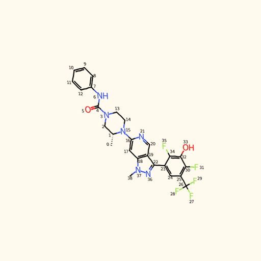 C[C@@H]1CN(C(=O)Nc2ccccc2)CCN1c1cc2c(cn1)c(-c1cc(C(F)(F)F)c(F)c(O)c1F)nn2C